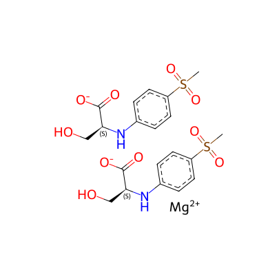 CS(=O)(=O)c1ccc(N[C@@H](CO)C(=O)[O-])cc1.CS(=O)(=O)c1ccc(N[C@@H](CO)C(=O)[O-])cc1.[Mg+2]